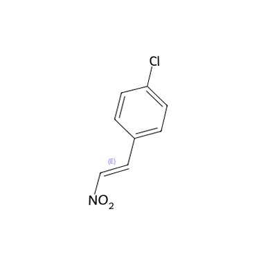 O=[N+]([O-])/C=C/c1ccc(Cl)cc1